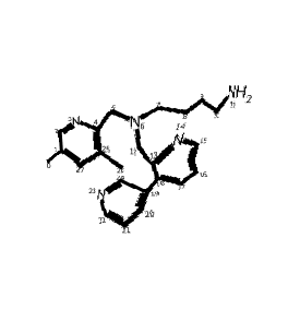 Cc1cnc(CN(CCCCN)Cc2ncccc2-c2cccnc2)c(C)c1